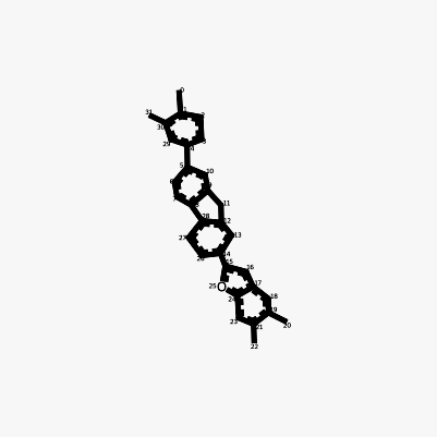 Cc1ccc(-c2ccc3c(c2)Cc2cc(-c4cc5cc(C)c(C)cc5o4)ccc2-3)cc1C